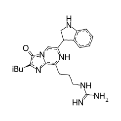 CC[C@H](C)c1nc2c(CCCNC(=N)N)[nH]c(C3CNc4ccccc43)cn-2c1=O